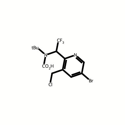 CC(C)(C)N(C(=O)O)C(c1ncc(Br)cc1CCl)C(F)(F)F